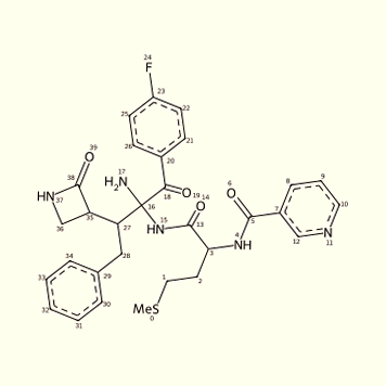 CSCCC(NC(=O)c1cccnc1)C(=O)NC(N)(C(=O)c1ccc(F)cc1)C(Cc1ccccc1)C1CNC1=O